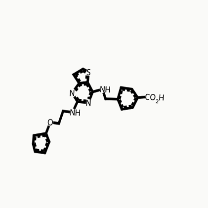 O=C(O)c1ccc(CNc2nc(NCCOc3ccccc3)nc3ccsc23)cc1